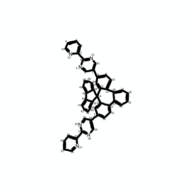 c1ccc(-c2ncc(-c3ccc4c(c3)C3(c5cc(-c6cnc(-c7ccccn7)nc6)ccc5-c5ccccc5-4)c4ccccc4-c4ccccc43)cn2)nc1